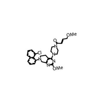 COC/C=C/C(=O)N1CCN(c2nc(OC)nc3c2CCN(c2cccc4cccc(Cl)c24)C3)CC1